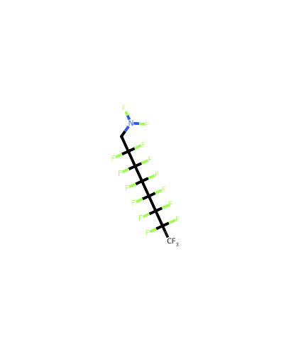 FN(F)CC(F)(F)C(F)(F)C(F)(F)C(F)(F)C(F)(F)C(F)(F)C(F)(F)F